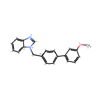 COc1cccc(-c2ccc(Cn3cnc4ccccc43)cc2)c1